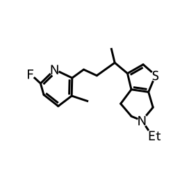 CCN1CCc2c(C(C)CCc3nc(F)ccc3C)csc2C1